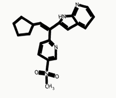 CS(=O)(=O)c1ccc(/C(=C\C2CCCC2)c2cc3cccnc3[nH]2)nc1